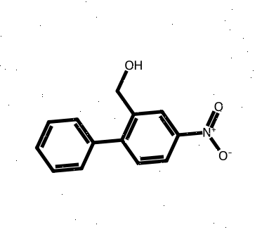 O=[N+]([O-])c1ccc(-c2ccccc2)c(CO)c1